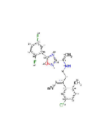 C=C(NCC/C(=C/CCC)c1cc(Cl)ccc1C)c1noc(-c2cc(F)ccc2F)n1